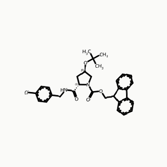 CC(C)(C)O[C@@H]1C[C@@H](C(=O)NCc2ccc(Cl)cc2)N(C(=O)OCC2c3ccccc3-c3ccccc32)C1